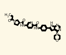 C=CC(=O)N1CC[C@H](C(=O)Nc2ccc(C(=O)Nc3ccc(-c4cc5c(N6CCOCC6)ncnc5[nH]4)cc3)nc2)C1